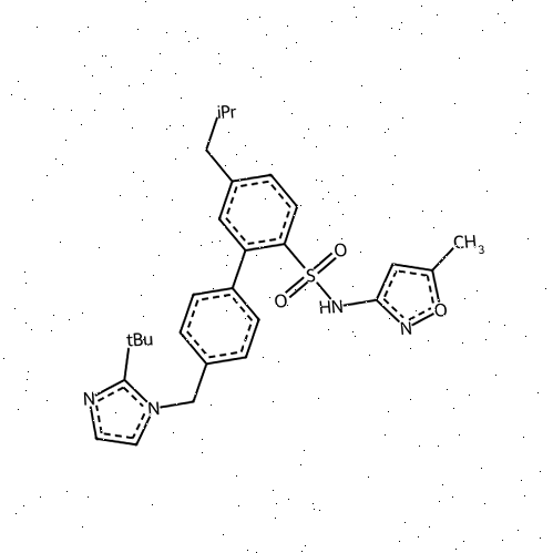 Cc1cc(NS(=O)(=O)c2ccc(CC(C)C)cc2-c2ccc(Cn3ccnc3C(C)(C)C)cc2)no1